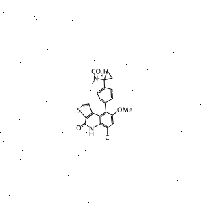 COc1cc(Cl)c2[nH]c(=O)c3sccc3c2c1-c1ccc(C2(N(C)C(=O)O)CC2)cc1